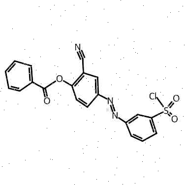 N#Cc1cc(/N=N/c2cccc(S(=O)(=O)Cl)c2)ccc1OC(=O)c1ccccc1